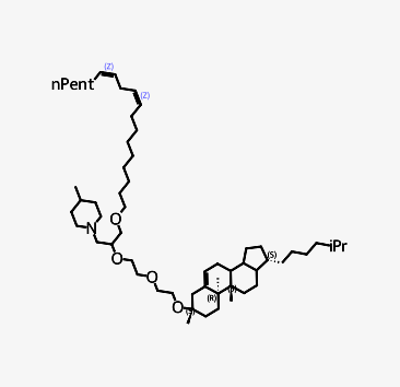 CCCCC/C=C\C/C=C\CCCCCCCCOCC(CN1CCC(C)CC1)OCCOCCO[C@@]1(C)CC[C@@]2(C)C(=CCC3C4CC[C@H](CCCCC(C)C)C4CC[C@@]32C)C1